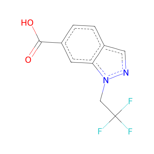 O=C(O)c1ccc2cnn(CC(F)(F)F)c2c1